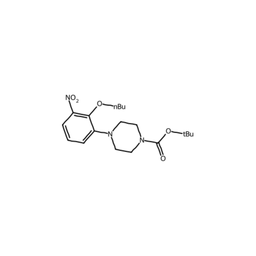 CCCCOc1c(N2CCN(C(=O)OC(C)(C)C)CC2)cccc1[N+](=O)[O-]